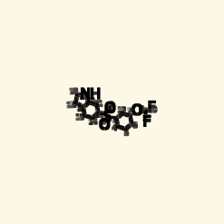 O=S(=O)(c1cccc(OC(F)F)c1)c1ccc2[c]c[nH]c2c1